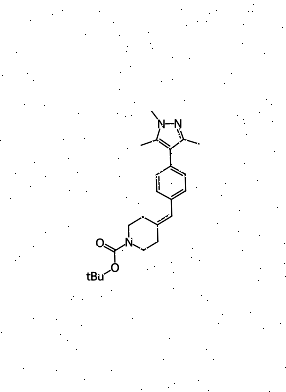 Cc1nn(C)c(C)c1-c1ccc(C=C2CCN(C(=O)OC(C)(C)C)CC2)cc1